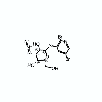 [N-]=[N+]=N[C@@H]1[C@@H](O)[C@@H](Sc2cc(Br)cnc2Br)O[C@H](CO)[C@@H]1O